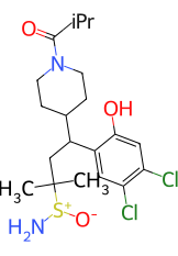 CC(C)C(=O)N1CCC(C(CC(C)(C)[S+](N)[O-])c2cc(Cl)c(Cl)cc2O)CC1